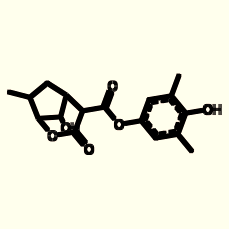 Cc1cc(OC(=O)C2C(=O)OC3C(C)CC2C3O)cc(C)c1O